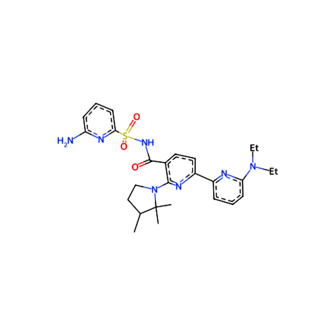 CCN(CC)c1cccc(-c2ccc(C(=O)NS(=O)(=O)c3cccc(N)n3)c(N3CCC(C)C3(C)C)n2)n1